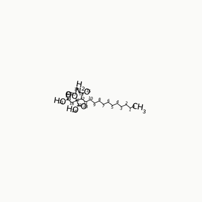 CCCCCCCCCCCCC(C(N)=O)C(O)(CC(=O)O)C(=O)O